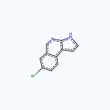 Brc1ccc2c(cnc3[nH]ccc32)c1